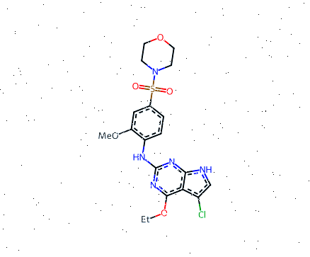 CCOc1nc(Nc2ccc(S(=O)(=O)N3CCOCC3)cc2OC)nc2[nH]cc(Cl)c12